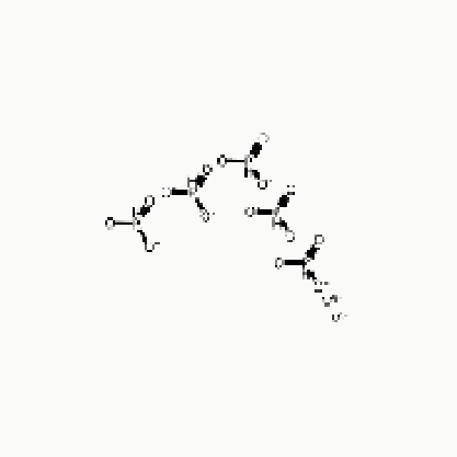 O=[PH]([O-])[O-].O=[PH]([O-])[O-].O=[PH]([O-])[O-].O=[PH]([O-])[O-].O=[PH]([O-])[O-].[V+5].[V+5]